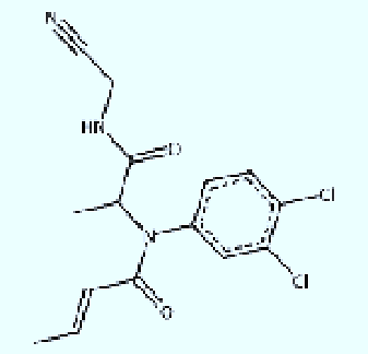 C/C=C/C(=O)N(c1ccc(Cl)c(Cl)c1)C(C)C(=O)NCC#N